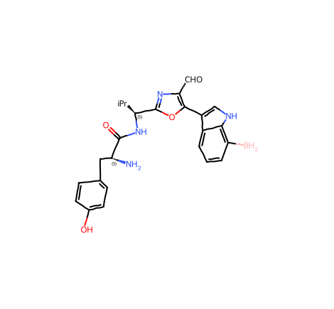 Bc1cccc2c(-c3oc([C@@H](NC(=O)[C@@H](N)Cc4ccc(O)cc4)C(C)C)nc3C=O)c[nH]c12